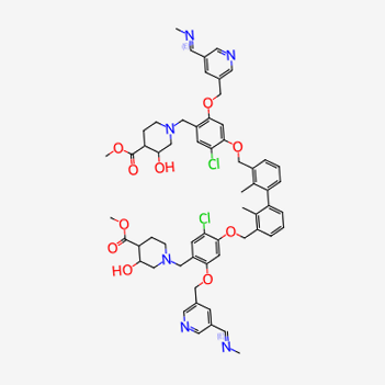 C/N=C/c1cncc(COc2cc(OCc3cccc(-c4cccc(COc5cc(OCc6cncc(/C=N/C)c6)c(CN6CCC(C(=O)OC)C(O)C6)cc5Cl)c4C)c3C)c(Cl)cc2CN2CCC(C(=O)OC)C(O)C2)c1